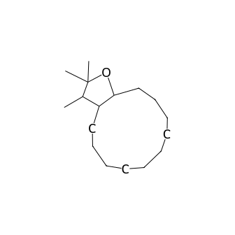 CC1C2CCCCCCCCCCC2OC1(C)C